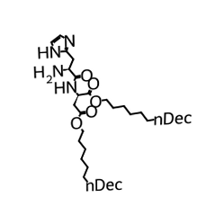 CCCCCCCCCCCCCCCCOC(=O)C[C@@H](NC(=O)[C@@H](N)Cc1ncc[nH]1)C(=O)OCCCCCCCCCCCCCCCC